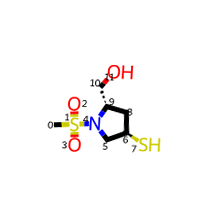 CS(=O)(=O)N1C[C@H](S)C[C@H]1CO